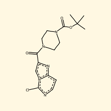 CC(C)(C)OC(=O)N1CCN(C(=O)c2cn3c(Cl)nccc3n2)CC1